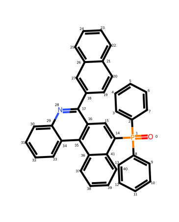 O=P(c1ccccc1)(c1ccccc1)c1cc2c(-c3ccc4ccccc4c3)nc3ccccc3c2c2ccccc12